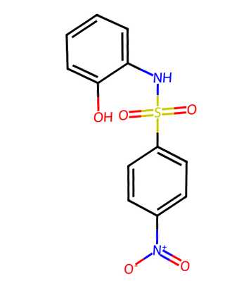 O=[N+]([O-])c1ccc(S(=O)(=O)Nc2ccccc2O)cc1